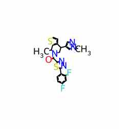 CC1c2sccc2C(c2cnn(C)c2)CN1C(=O)c1nnc(-c2ccc(F)cc2F)s1